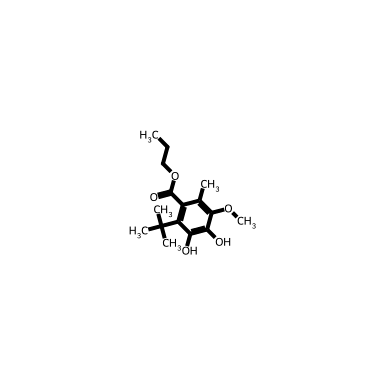 CCCOC(=O)c1c(C)c(OC)c(O)c(O)c1C(C)(C)C